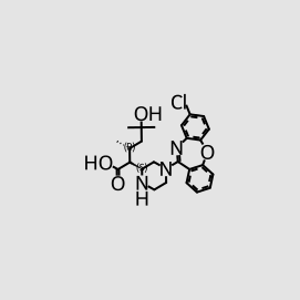 C[C@H](CC(C)(C)O)C(C(=O)O)[C@H]1CN(C2=Nc3cc(Cl)ccc3Oc3ccccc32)CCN1